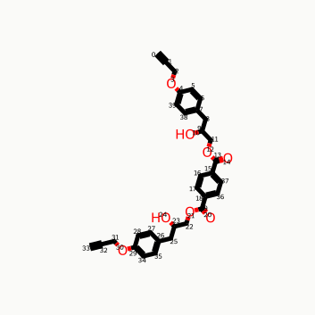 C#CCOc1ccc(CC(O)COC(=O)c2ccc(C(=O)OCC(O)Cc3ccc(OCC#C)cc3)cc2)cc1